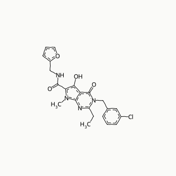 CCc1nc2c(c(O)c(C(=O)NCc3ccco3)n2C)c(=O)n1Cc1cccc(Cl)c1